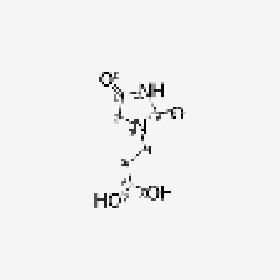 O=C1CN(CCC(O)O)C(=O)N1